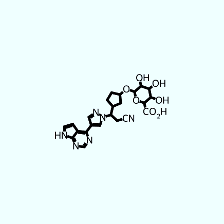 N#CCC(C1CCC(OC2OC(C(=O)O)C(O)C(O)C2O)C1)n1cc(-c2ncnc3[nH]ccc23)cn1